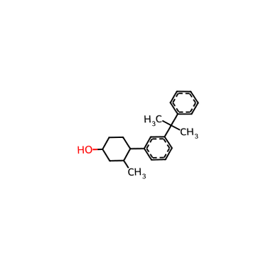 CC1CC(O)CCC1c1cccc(C(C)(C)c2ccccc2)c1